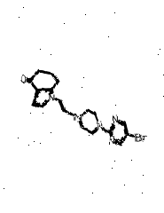 O=C1CCCc2c1ccn2CCN1CCN(c2ncc(Br)cn2)CC1